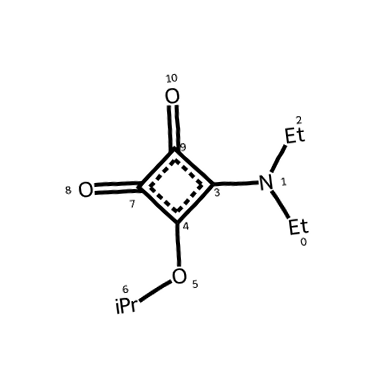 CCN(CC)c1c(OC(C)C)c(=O)c1=O